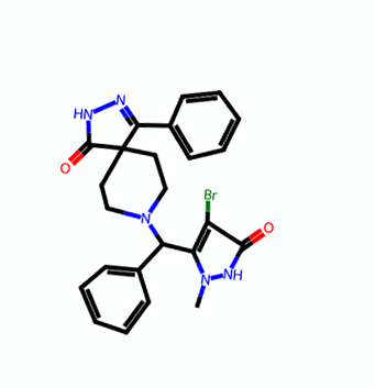 Cn1[nH]c(=O)c(Br)c1C(c1ccccc1)N1CCC2(CC1)C(=O)NN=C2c1ccccc1